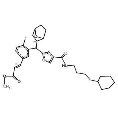 COC(=O)/C=C/c1ccc(F)c(C(c2nc(C(=O)NCCCCC3CCCCC3)co2)[C@H]2CC3CCC2O3)c1